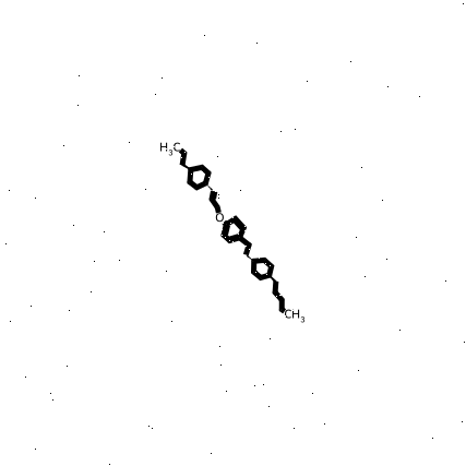 CCCCC[C@H]1CC[C@H](CCc2ccc(OC/C=C/[C@H]3CC[C@H](CCC)CC3)cc2)CC1